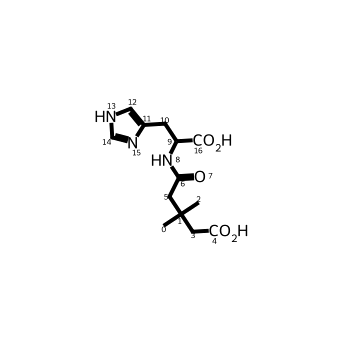 CC(C)(CC(=O)O)CC(=O)NC(Cc1c[nH]cn1)C(=O)O